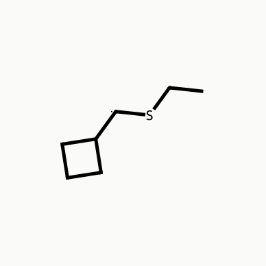 CCS[CH]C1CCC1